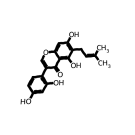 CC(C)=CCc1c(O)cc2occ(-c3ccc(O)cc3O)c(=O)c2c1O